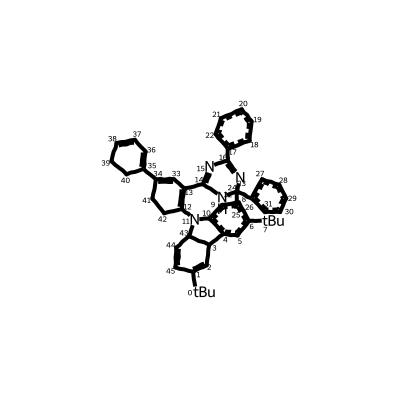 CC(C)(C)C1=CC2c3cc(C(C)(C)C)ccc3N(C3=C(C4=NC(c5ccccc5)=NC(C)(c5ccccc5)N4)C=C(C4=CC=CCC4)CC3)C2C=C1